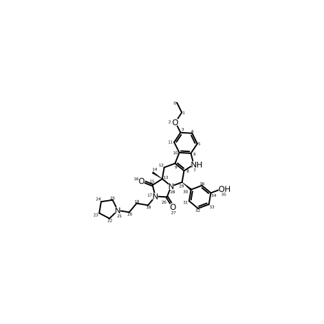 CCOc1ccc2[nH]c3c(c2c1)C[C@@]1(C)C(=O)N(CCCN2CCCC2)C(=O)N1[C@@H]3c1cccc(O)c1